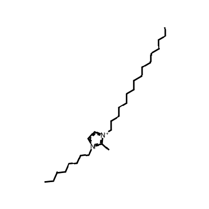 CCCCCCCCCCCCCCCC[n+]1ccn(CCCCCCCC)c1C